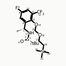 C[C@@H](N[S@@+]([O-])C(C)(C)C)c1cc(F)cc(C(F)(F)F)c1OCOCC[Si](C)(C)C